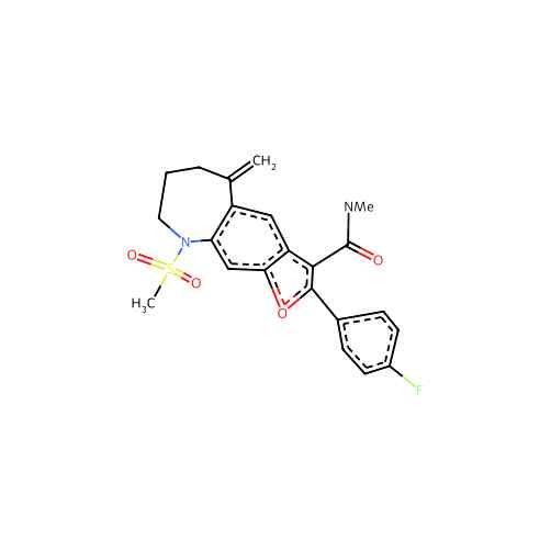 C=C1CCCN(S(C)(=O)=O)c2cc3oc(-c4ccc(F)cc4)c(C(=O)NC)c3cc21